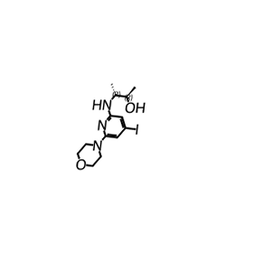 C[C@@H](O)[C@@H](C)Nc1cc(I)cc(N2CCOCC2)n1